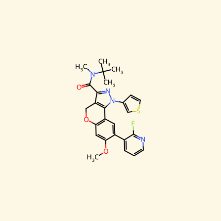 COc1cc2c(cc1-c1cccnc1F)-c1c(c(C(=O)N(C)C(C)(C)C)nn1-c1ccsc1)CO2